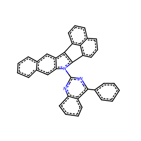 c1ccc(-c2nc(-n3c4c(c5cc6ccccc6cc53)-c3cccc5cccc-4c35)nc3ccccc23)cc1